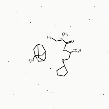 C[C@@H](CS)C(=O)OC(CSC1CCCC1)C(=O)O.NC12CC3CC(CC(C3)C1)C2